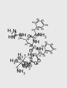 BC(B)(CN)C(B)(B)C[C@H](NC(=O)[C@H](Cc1ccccc1)NC(=O)[C@@H](CCCNC(=N)N)NC(=O)[C@@H](N)Cc1ccccc1)C(N)=O